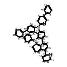 c1ccc(-c2ccc(-n3c4ccc(-c5ccccc5)cc4c4c5c(ccc43)-c3ccc(-c4ccccn4)c4cccc(c34)N5c3ccccc3)nc2)cc1